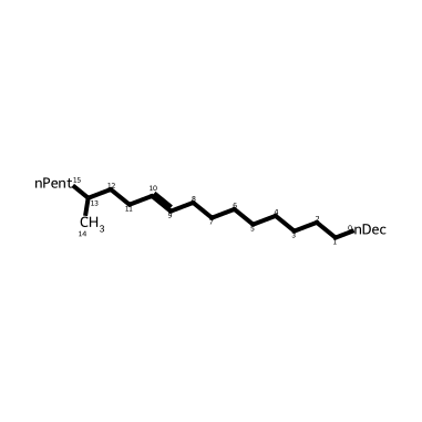 [CH2]CCCCCCCCCCCCCCCCCC=CCCC(C)CCCC[CH2]